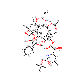 C=C[C@H]1O[C@H]2C[C@H]3OC[C@@]3(OC(C)=O)[C@H]3[C@H](OC(=O)c4ccccc4)[C@]4(O)C[C@H](OC(=O)[C@@H](O)C(CC(C)C)NC(=O)OC(C)(C)C)C(C)=C([C@H](OC(C)=O)[C@H](O1)[C@]23C)C4(C)C